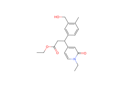 CCOC(=O)CC(c1ccc(C)c(CO)c1)c1ccn(CC)c(=O)c1